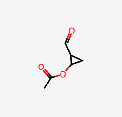 CC(=O)OC1CC1C=O